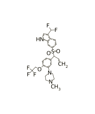 C=CC(c1ccc(OCC(F)(F)F)c(N2CCN(C)CC2)c1)S(=O)(=O)c1ccc2c(C(F)F)c[nH]c2c1